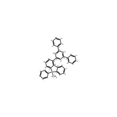 CS1(c2ccccc2)c2ccccc2-c2c(-c3nc(-c4ccccc4)nc(-c4ccccc4)n3)cccc21